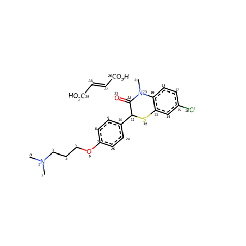 CN(C)CCCOc1ccc(C2Sc3cc(Cl)ccc3N(C)C2=O)cc1.O=C(O)C=CC(=O)O